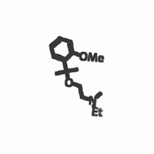 CCN(C)CCOC(C)(C)c1ccccc1OC